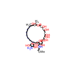 COCCCNC(=O)C1[C@@H]2CC(O[C@@H]3OC[C@@H](O)[C@H](N)[C@@H]3O)/C=C/C=C/C=C/C=C/C=C/C=C/C=C/[C@H](C)[C@@H](O)C[C@H](C)OC(=O)CC(O)CC(O)CCC(O)C(O)CC(O)CC(O)(C[C@@H]1O)O2